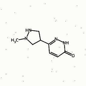 CN1CC(c2ccc(=O)[nH]n2)CN1